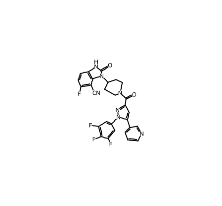 N#Cc1c(F)ccc2[nH]c(=O)n(C3CCN(C(=O)c4cc(-c5cccnc5)n(-c5cc(F)c(F)c(F)c5)n4)CC3)c12